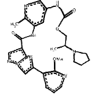 COc1ncccc1-c1cn2ncc(C(=O)Nc3cc(NC(=O)OCC(C)N4CCCC4)cnc3C)c2s1